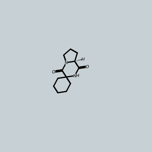 O=C1NC2(CCCCC2)C(=O)N2CCC[C@@H]12